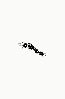 CC[C@H]1CC[C@H]([C@H]2CC[C@H](COc3cc(F)c(C(=O)Oc4ccc(C#N)c(F)c4)c(F)c3)CC2)CC1